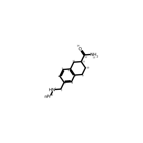 CCCNCc1ccc2c(c1)CCC(C(N)=O)C2